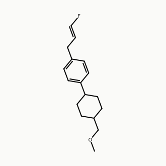 COCC1CCC(c2ccc(CC=CF)cc2)CC1